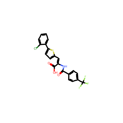 O=C(O)/C(=C\c1ccc(-c2ccccc2Cl)s1)NC(=O)c1ccc(C(F)(F)F)cc1